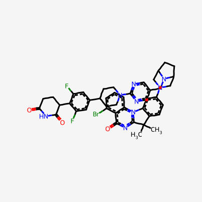 CC1(C)c2ccc(N3CC4CCC(C3)N4Cc3cnc(N4CCC(c5cc(F)c(C6CCC(=O)NC6=O)c(F)c5)CC4)nc3)cc2-n2c1nc(=O)c1c(Br)cccc12